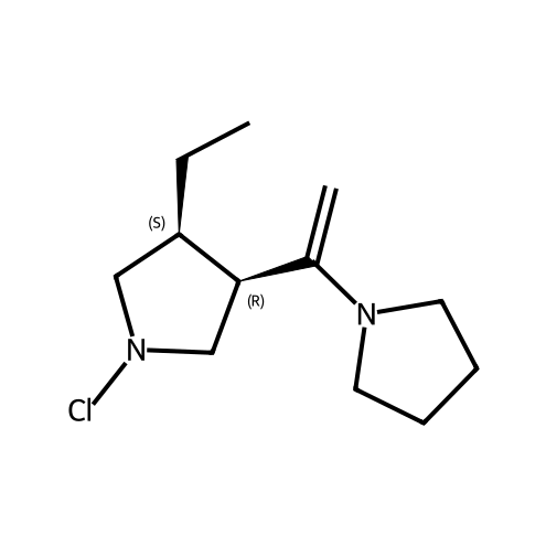 C=C([C@H]1CN(Cl)C[C@H]1CC)N1CCCC1